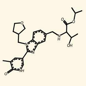 Cc1cc(-c2nc3cc(CNC(C(=O)OC(C)C)C(C)O)ccc3n2CC2CCOC2)c[nH]c1=O